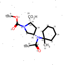 CC(C)(C)OC(=O)N1C[C@@H](N(C(=O)C(C)(C)C)C2(C)CCCCC2)C[C@H]1C(=O)O